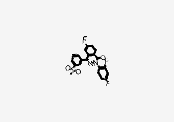 CS(=O)(=O)c1cccc(-c2nn(-c3ccc(F)cc3F)c(=O)c3ccc(F)cc23)c1